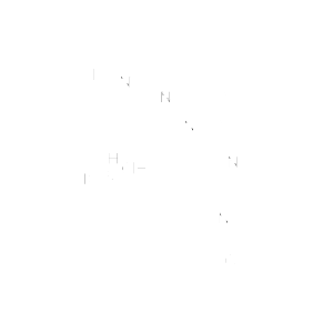 CCN1CCN(c2nc(-c3ccc(N4CCOCC4)cn3)cc3ccccc23)CC1.Cl.Cl.Cl